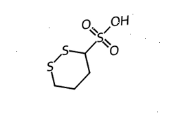 O=S(=O)(O)C1CCCSS1